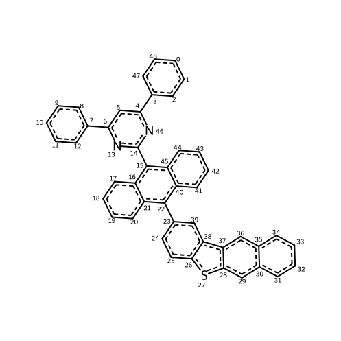 c1ccc(-c2cc(-c3ccccc3)nc(-c3c4ccccc4c(-c4ccc5sc6cc7ccccc7cc6c5c4)c4ccccc34)n2)cc1